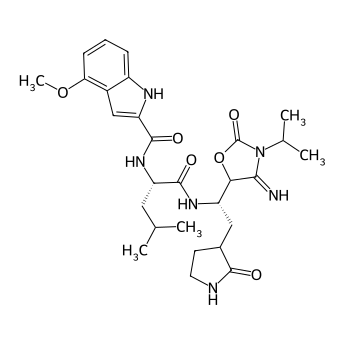 COc1cccc2[nH]c(C(=O)N[C@@H](CC(C)C)C(=O)N[C@@H](CC3CCNC3=O)C3OC(=O)N(C(C)C)C3=N)cc12